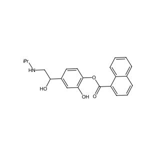 CC(C)NCC(O)c1ccc(OC(=O)c2cccc3ccccc23)c(O)c1